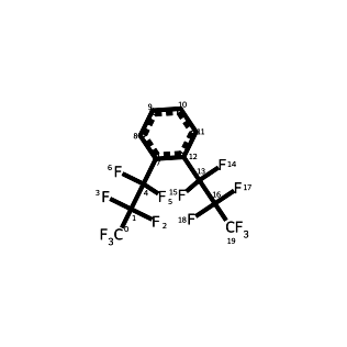 FC(F)(F)C(F)(F)C(F)(F)c1ccccc1C(F)(F)C(F)(F)C(F)(F)F